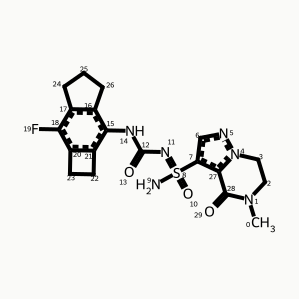 CN1CCn2ncc(S(N)(=O)=NC(=O)Nc3c4c(c(F)c5c3CC5)CCC4)c2C1=O